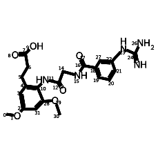 COc1cc(CCC(=O)O)c(NC(=O)CNC(=O)c2cccc(NC(=N)N)c2)c(OC)c1